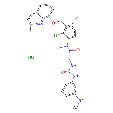 CC(=O)N(C)c1cccc(NC(=O)NCC(=O)N(C)c2ccc(Cl)c(COc3cccc4ccc(C)nc34)c2Cl)c1.Cl